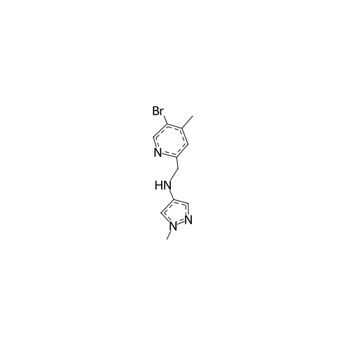 Cc1cc(CNc2cnn(C)c2)ncc1Br